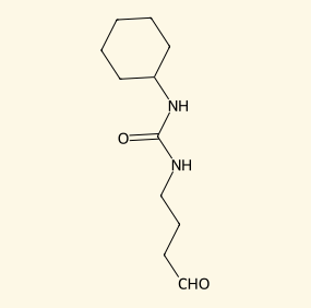 O=CCCCNC(=O)NC1CCCCC1